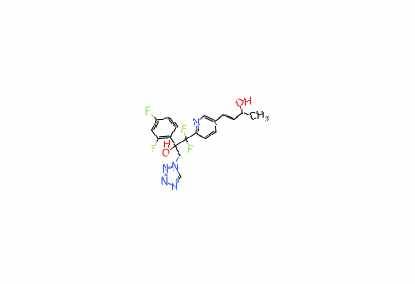 CC(O)C=Cc1ccc(C(F)(F)C(O)(Cn2cnnn2)c2ccc(F)cc2F)nc1